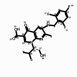 Cc1nc2c(cc1NCc1c(F)cc(F)cc1F)c(=O)c(C(=O)O)cn2[C@H](CO)C(C)C